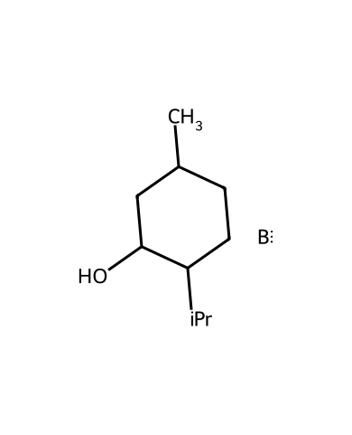 CC1CCC(C(C)C)C(O)C1.[B]